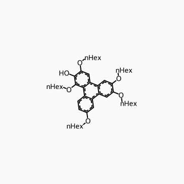 CCCCCCOc1ccc2c(c1)c1cc(OCCCCCC)c(OCCCCCC)cc1c1cc(OCCCCCC)c(O)c(OCCCCCC)c21